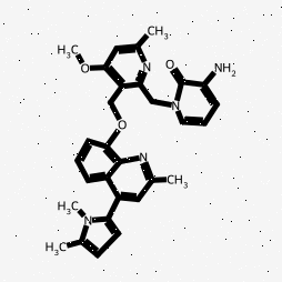 COc1cc(C)nc(Cn2cccc(N)c2=O)c1COc1cccc2c(-c3ccc(C)n3C)cc(C)nc12